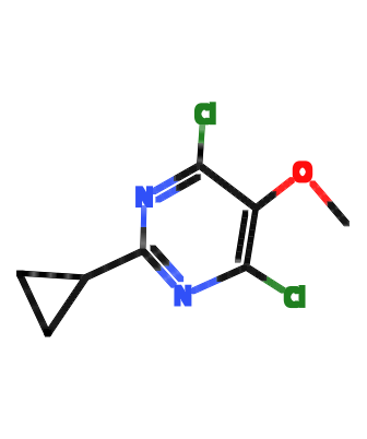 COc1c(Cl)nc(C2CC2)nc1Cl